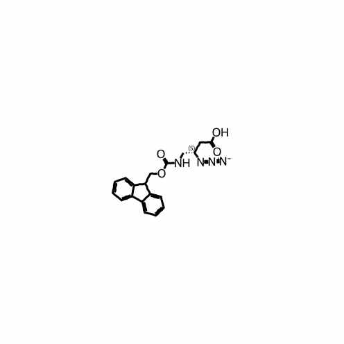 [N-]=[N+]=N[C@H](CNC(=O)OCC1c2ccccc2-c2ccccc21)CC(=O)O